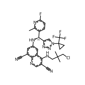 Cc1nc(F)ccc1[C@H](Nc1cc(C#N)c2ncc(C#N)c(NCC(C)(C)CCl)c2c1)c1cn(C2(C(F)(F)F)CC2)nn1